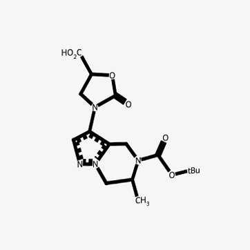 CC1Cn2ncc(N3CC(C(=O)O)OC3=O)c2CN1C(=O)OC(C)(C)C